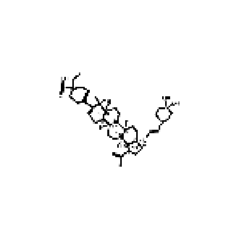 C=C(C)[C@@H]1CC[C@]2(NCCN3CCS(O)(O)CC3)CC[C@]3(C)[C@H](CC[C@@H]4[C@@]5(C)CC=C(C6=CCC(CF)(C(=O)O)CC6)C(C)(C)[C@@H]5CC[C@]43C)[C@@H]12